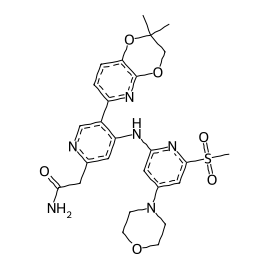 CC1(C)COc2nc(-c3cnc(CC(N)=O)cc3Nc3cc(N4CCOCC4)cc(S(C)(=O)=O)n3)ccc2O1